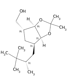 C[C@@H](C[C@H]1C[C@H](CO)[C@H]2OC(C)(C)O[C@@H]12)C(C)(C)C